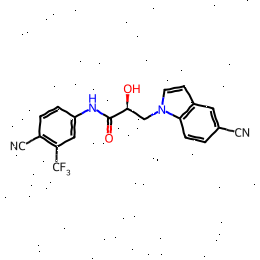 N#Cc1ccc2c(ccn2C[C@H](O)C(=O)Nc2ccc(C#N)c(C(F)(F)F)c2)c1